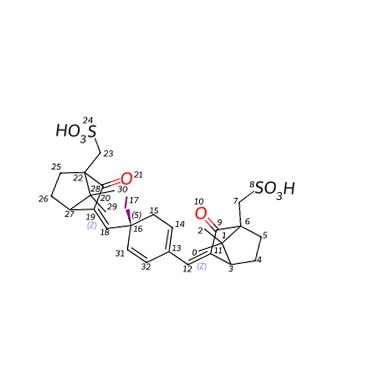 CC1(C)C2CCC1(CS(=O)(=O)O)C(=O)/C2=C\C1=CC[C@@](I)(/C=C2\C(=O)C3(CS(=O)(=O)O)CCC2C3(C)C)C=C1